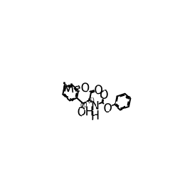 COC(=O)[C@@H](NC(=O)Oc1ccccc1)[C@H](O)c1ccccc1